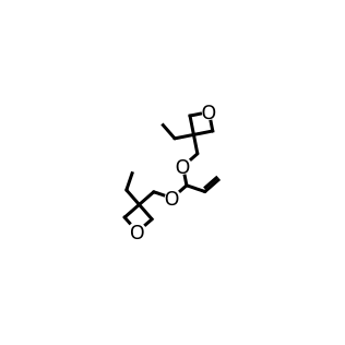 C=CC(OCC1(CC)COC1)OCC1(CC)COC1